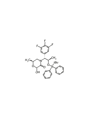 C[C@H]1CN([C@H](c2cc(F)c(F)c(F)c2)[C@@H](C)O[Si](c2ccccc2)(c2ccccc2)C(C)(C)C)C(=O)C(O)O1